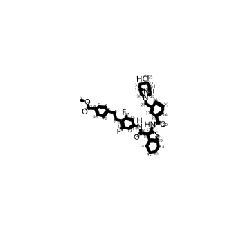 COC(=O)c1ccc(CCc2c(F)cc(NC(=O)c3c(NC(=O)c4cccc(CN5CC6CCC(C5)N6)c4)sc4c3CCCC4)cc2F)cc1.Cl